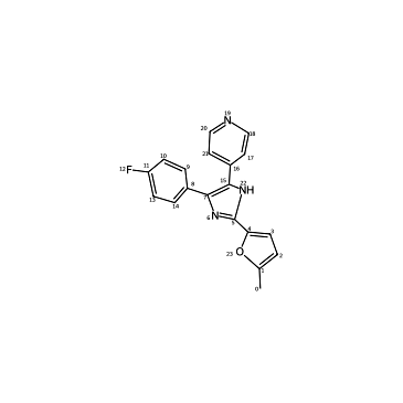 Cc1ccc(-c2nc(-c3ccc(F)cc3)c(-c3ccncc3)[nH]2)o1